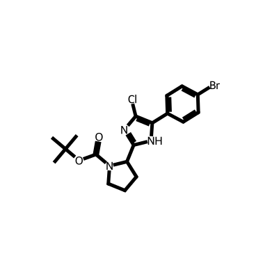 CC(C)(C)OC(=O)N1CCCC1c1nc(Cl)c(-c2ccc(Br)cc2)[nH]1